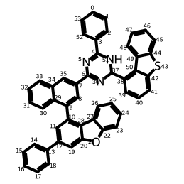 c1ccc(C2=NC(c3cc(-c4cc(-c5ccccc5)cc5oc6ccccc6c45)c4ccccc4c3)=NC(c3cccc4sc5ccccc5c34)N2)cc1